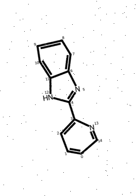 [c]1ccc(-c2nc3ccccc3[nH]2)nc1